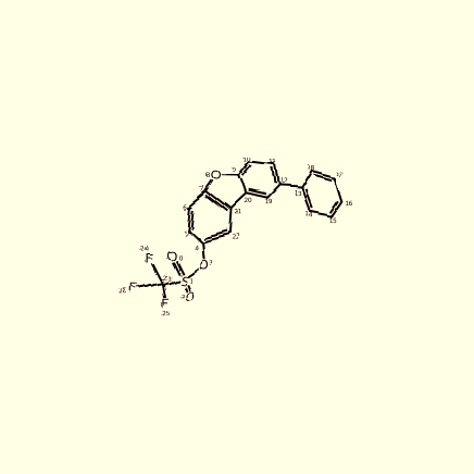 O=S(=O)(Oc1ccc2oc3ccc(-c4ccccc4)cc3c2c1)C(F)(F)F